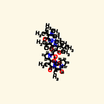 CCC(C)C(C(CC(=O)N1CCCC1C(OC)C(C)C(=O)N[C@@H](C)C(=O)N1CCCCO1)OC)N(C)C(=O)[C@@H](NC(=O)C(C(C)C)N(C)C)C(C)C